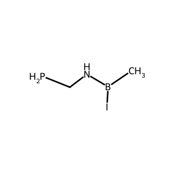 CB(I)NCP